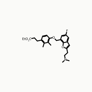 CCOC(=O)CCc1ccc(OCc2cc(F)cc3cc(CCN(C)C)oc23)c(C)c1C